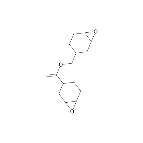 C=C(OCC1CCC2OC2C1)C1CCC2OC2C1